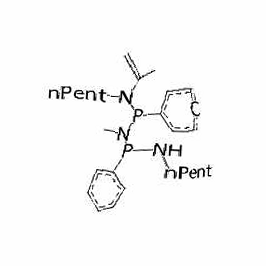 C=C(C)N(CCCCC)P(c1ccccc1)N(C)P(NCCCCC)c1ccccc1